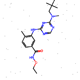 CCONC(=O)c1ccc(C)c(Nc2ncnc(N(C)CC(C)(C)C)n2)c1